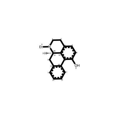 CCN1CCc2ccc(O)c3c2[C@H]1Cc1ccccc1-3